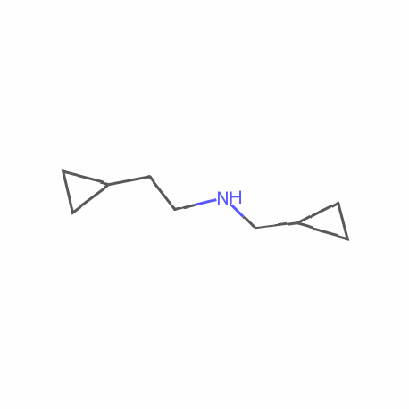 C(CC1CC1)NCC1CC1